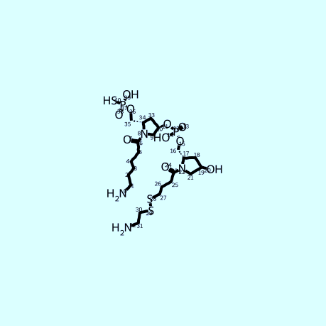 NCCCCCC(=O)N1C[C@H](OP(=O)(O)OC[C@@H]2CC(O)CN2C(=O)CCCSSCCN)C[C@H]1COP(=O)(O)S